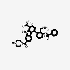 CN1CCN(C(=O)c2ccc3c(c2)[nH]c2c(C(N)=O)ccc(-c4cccc(NC(=O)c5ccccc5)c4CN)c23)CC1